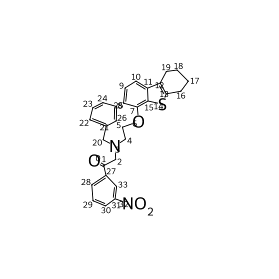 O=C(CN(CCOc1cccc2c3c(sc12)CCCC3)Cc1ccccc1)c1cccc([N+](=O)[O-])c1